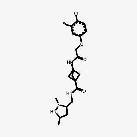 CC1CC(CNC(=O)C23CC(NC(=O)COc4ccc(Cl)c(F)c4)(C2)C3)N(C)N1